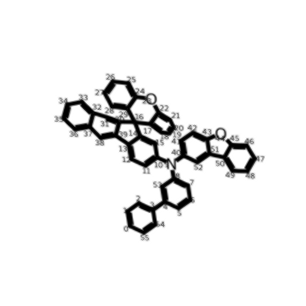 c1ccc(-c2cccc(N(c3ccc4c(c3)C3(c5ccccc5Oc5ccccc53)c3cc5ccccc5cc3-4)c3ccc4oc5ccccc5c4c3)c2)cc1